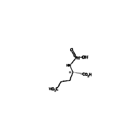 O=C(O)CC[C@H](N[PH](=O)O)C(=O)O